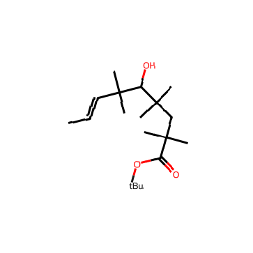 CC=CC(C)(C)C(O)C(C)(C)CC(C)(C)C(=O)OC(C)(C)C